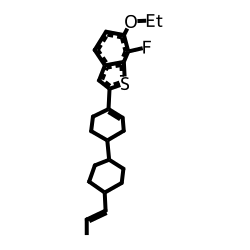 C/C=C/C1CCC(C2CC=C(c3cc4ccc(OCC)c(F)c4s3)CC2)CC1